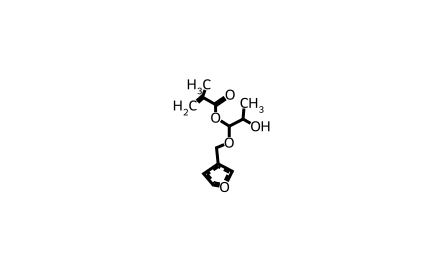 C=C(C)C(=O)OC(OCc1ccoc1)C(C)O